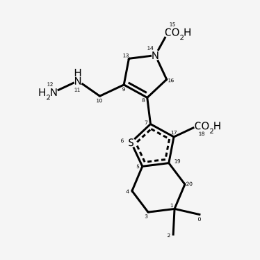 CC1(C)CCc2sc(C3=C(CNN)CN(C(=O)O)C3)c(C(=O)O)c2C1